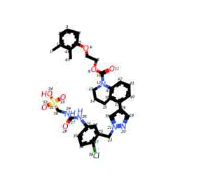 Cc1cccc(OCCOC(=O)N2CCCc3c(-c4cnn(Cc5cc(NC(=O)NCS(=O)(=O)O)ccc5Cl)c4)cccc32)c1C